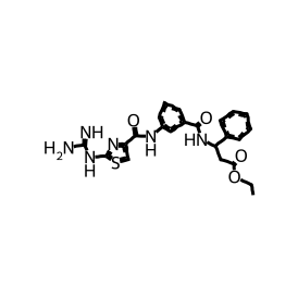 CCOC(=O)CC(NC(=O)c1cccc(NC(=O)c2csc(NC(=N)N)n2)c1)c1ccccc1